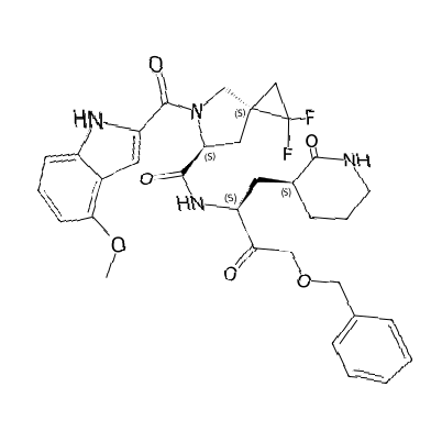 COc1cccc2[nH]c(C(=O)N3C[C@]4(C[C@H]3C(=O)N[C@@H](C[C@@H]3CCCNC3=O)C(=O)COCc3ccccc3)CC4(F)F)cc12